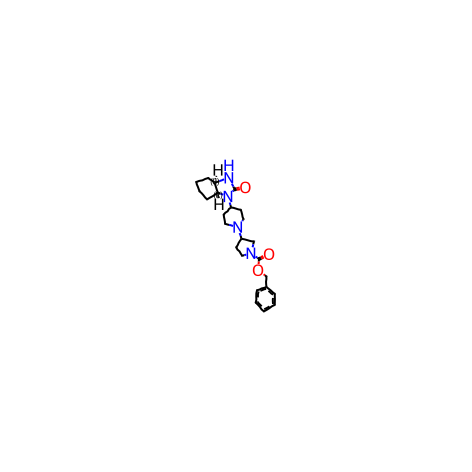 O=C(OCc1ccccc1)N1CCC(N2CCC(N3C(=O)N[C@@H]4CCCC[C@H]43)CC2)C1